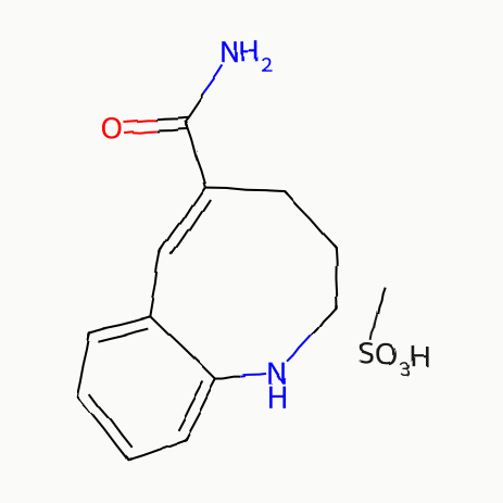 CS(=O)(=O)O.NC(=O)C1=Cc2ccccc2NCCC1